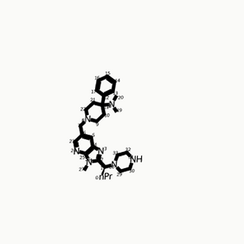 CCC[C@@H](c1nc2cc(CN3CCC(c4ccccc4)(N(C)C)CC3)cnc2n1C)N1CCNCC1